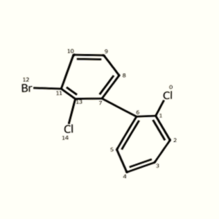 Clc1ccccc1-c1cccc(Br)c1Cl